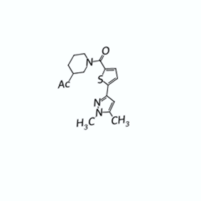 CC(=O)C1CCCN(C(=O)c2ccc(-c3cc(C)n(C)n3)s2)C1